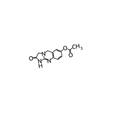 CC(=O)Oc1ccc2c(c1)CN1CC(=O)NC1=N2